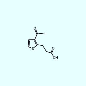 CC(=O)c1ccsc1CCC(=O)O